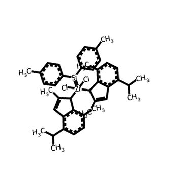 CC1=Cc2c(C(C)C)ccc(C)c2[CH]1[Zr]([Cl])([Cl])([CH]1C(C)=Cc2c(C(C)C)ccc(C)c21)=[Si](c1ccc(C)cc1)c1ccc(C)cc1